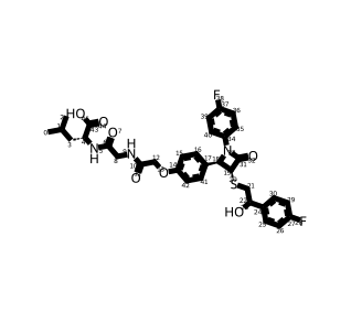 CC(C)C[C@@H](NC(=O)CNC(=O)COc1ccc([C@@H]2[C@@H](SCC(O)c3ccc(F)cc3)C(=O)N2c2ccc(F)cc2)cc1)C(=O)O